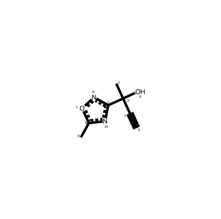 C#CC(C)(O)c1noc(C)n1